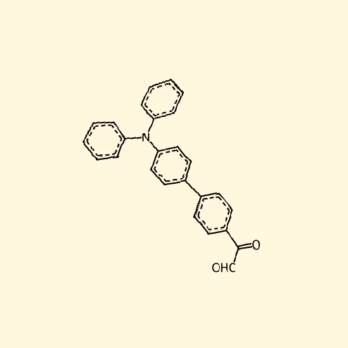 O=CC(=O)c1ccc(-c2ccc(N(c3ccccc3)c3ccccc3)cc2)cc1